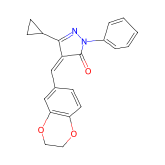 O=C1/C(=C\c2ccc3c(c2)OCCO3)C(C2CC2)=NN1c1ccccc1